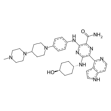 CN1CCN(C2CCN(c3ccc(Nc4nc(N[C@H]5CC[C@H](O)CC5)c(-c5nccc6[nH]ccc56)nc4C(N)=O)cc3)CC2)CC1